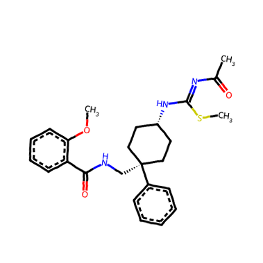 COc1ccccc1C(=O)NC[C@]1(c2ccccc2)CC[C@H](N/C(=N/C(C)=O)SC)CC1